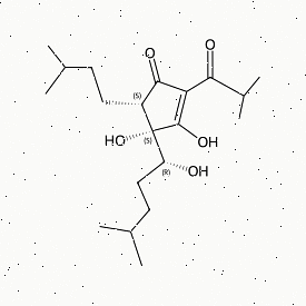 CC(C)CC[C@@H](O)[C@]1(O)C(O)=C(C(=O)C(C)C)C(=O)[C@H]1CCC(C)C